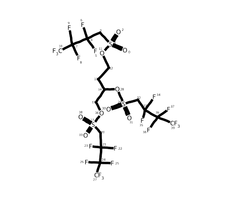 O=S(=O)(CC(F)(F)C(F)(F)C(F)(F)F)OCCC(COS(=O)(=O)CC(F)(F)C(F)(F)C(F)(F)F)OS(=O)(=O)CC(F)(F)C(F)(F)C(F)(F)F